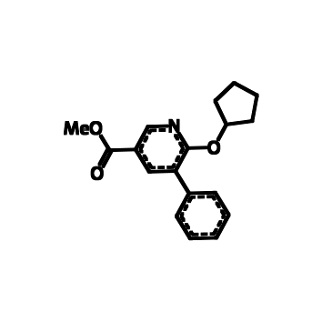 COC(=O)c1cnc(OC2CCCC2)c(-c2ccccc2)c1